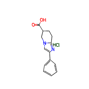 Cl.O=C(O)C1CCc2nc(-c3ccccc3)cn2C1